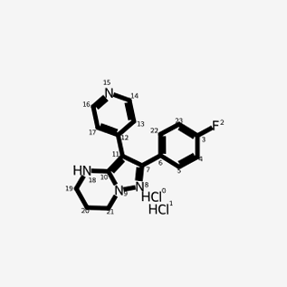 Cl.Cl.Fc1ccc(-c2nn3c(c2-c2ccncc2)NCCC3)cc1